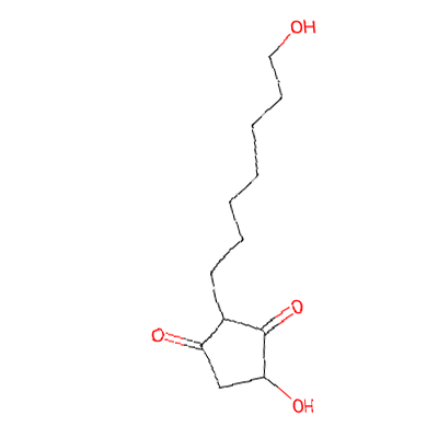 O=C1CC(O)C(=O)C1CCCCCCCO